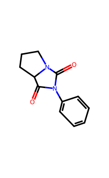 O=C1C2CCCN2C(=O)N1c1ccccc1